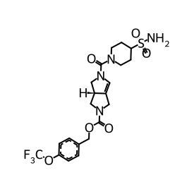 NS(=O)(=O)C1CCN(C(=O)N2C=C3CN(C(=O)OCc4ccc(OC(F)(F)F)cc4)C[C@@H]3C2)CC1